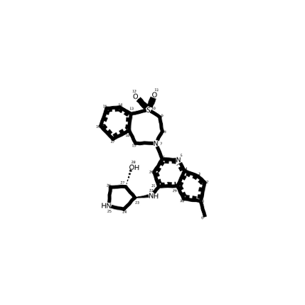 Cc1ccc2nc(N3CCS(=O)(=O)c4ccccc4C3)cc(N[C@H]3CNC[C@@H]3O)c2c1